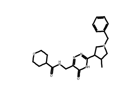 CC1CN(Cc2ccccc2)CC1c1nnc(CNC(=O)C2CCOCC2)c(=O)[nH]1